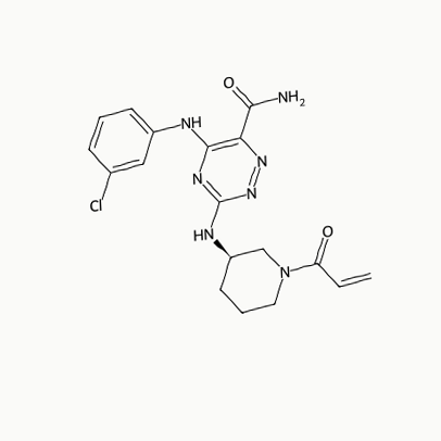 C=CC(=O)N1CCC[C@@H](Nc2nnc(C(N)=O)c(Nc3cccc(Cl)c3)n2)C1